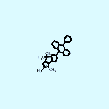 Cc1cc2c(n1C)-c1ccc(-c3c4ccccc4c(-c4ccccc4)c4ccccc34)cc1C2(C)C